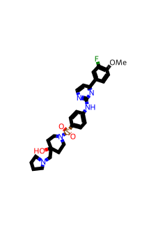 COc1ccc(-c2ccnc(Nc3ccc(S(=O)(=O)N4CCC(O)(CN5CCCC5)CC4)cc3)n2)cc1F